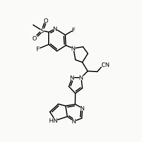 CS(=O)(=O)c1nc(F)c(N2CCC(C(CC#N)n3cc(-c4ncnc5[nH]ccc45)cn3)C2)cc1F